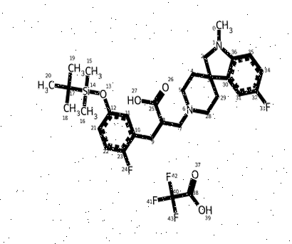 CN1CC2(CCN(CC(Cc3cc(O[Si](C)(C)C(C)(C)C)ccc3F)C(=O)O)CC2)c2cc(F)ccc21.O=C(O)C(F)(F)F